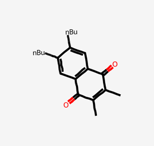 CCCCc1cc2c(cc1CCCC)C(=O)C(C)=C(C)C2=O